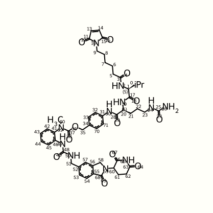 CC(C)[C@H](NC(=O)CCCCCN1C(=O)C=CC1=O)C(=O)N[C@@H](CCCNC(N)=O)C(=O)Nc1ccc(COC(=O)N(C)c2ccccc2NC(=O)NCc2ccc3c(c2)CN(C2CCC(=O)NC2=O)C3=O)cc1